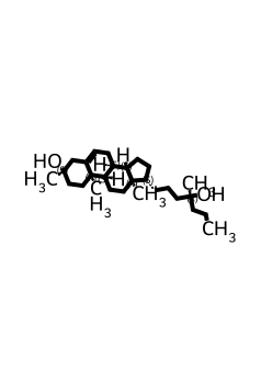 CCC[C@@](C)(O)CCC[C@H]1CC[C@H]2[C@@H]3CC=C4C[C@@](C)(O)CC[C@]4(C)[C@H]3CC[C@]12C